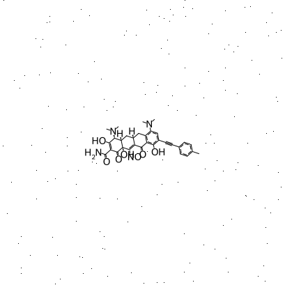 Cc1ccc(C#Cc2cc(N(C)C)c3c(c2O)C(=O)C2=C(N=O)[C@]4(O)C(=O)C(C(N)=O)=C(O)[C@@H](N(C)C)[C@@H]4C[C@@H]2C3)cc1